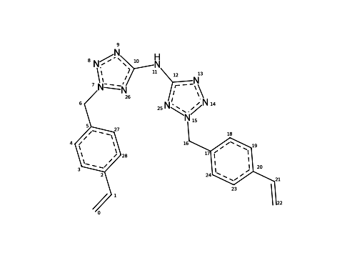 C=Cc1ccc(Cn2nnc(Nc3nnn(Cc4ccc(C=C)cc4)n3)n2)cc1